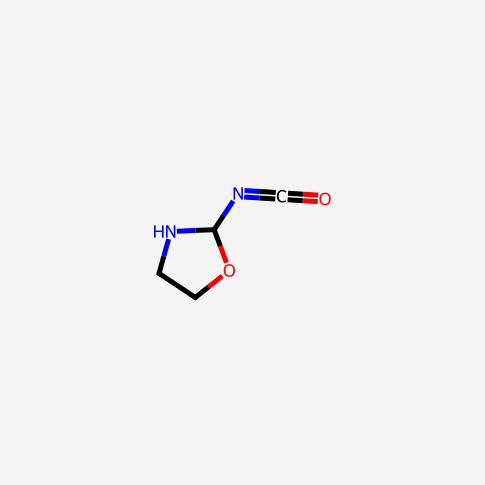 O=C=NC1NCCO1